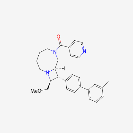 COC[C@@H]1[C@@H](c2ccc(-c3cccc(C)c3)cc2)[C@@H]2CN(C(=O)c3ccncc3)CCCCN12